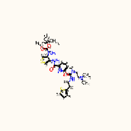 CN(C)CCN(Cc1ccc(C(=O)Nc2cscc2NC(=O)OC(C)(C)C)nc1)C(=O)NCCc1cccs1